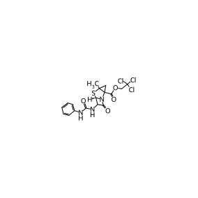 CC12CC1(C(=O)OCC(Cl)(Cl)Cl)N1C(=O)C(NC(=O)Nc3ccccc3)[C@@H]1S2